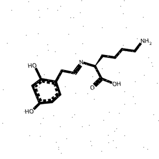 NCCCC[C@H](N=CCc1ccc(O)cc1O)C(=O)O